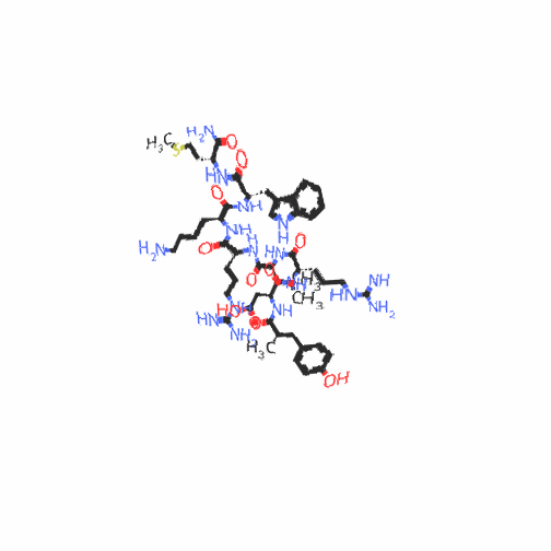 CSCC[C@@H](NC(=O)[C@H](Cc1c[nH]c2ccccc12)NC(=O)[C@H](CCCCN)NC(=O)[C@H](CCCNC(=N)N)NC(=O)[C@H](CC(C)C)NC(=O)[C@H](CCCNC(=N)N)NC(=O)[C@H](CC(=O)O)NC(=O)[C@@H](C)Cc1ccc(O)cc1)C(N)=O